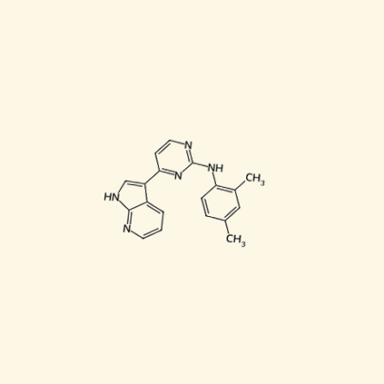 Cc1ccc(Nc2nccc(-c3c[nH]c4ncccc34)n2)c(C)c1